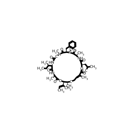 C/C=C(\C)[C@H]1OC(=O)[C@@H](C)NC(=O)[C@H]([C@H](C)CC)NC(=O)CN(C)C(=O)[C@@H](Cc2ccccc2)N(C)C(=O)[C@H](C)NC(=O)[C@@H](CC(C)C)OC(=O)/C(C)=C/C[CH][C@@H]1C